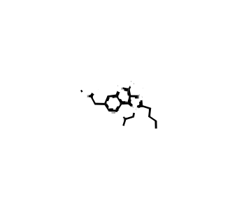 CCCCc1nc2c(N)nc3cc(CC(=O)OC)ccc3c2n1CC(C)O